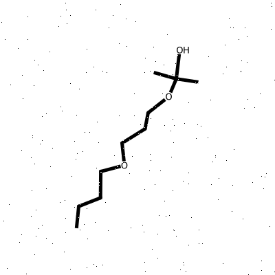 CCCCOCCCOC(C)(C)O